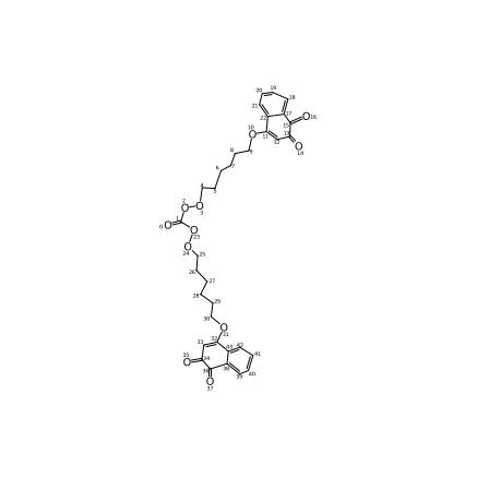 O=C(OOCCCCCCOC1=CC(=O)C(=O)c2ccccc21)OOCCCCCCOC1=CC(=O)C(=O)c2ccccc21